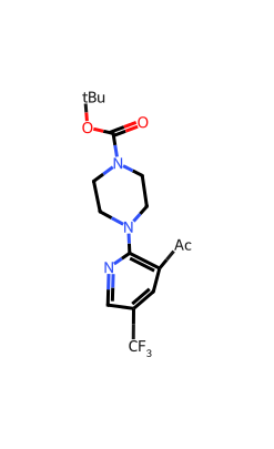 CC(=O)c1cc(C(F)(F)F)cnc1N1CCN(C(=O)OC(C)(C)C)CC1